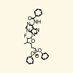 CC1C(CCP(=O)(Oc2ccccc2)Oc2ccccc2)OC(n2cnc3c(NC(=O)c4ccccc4)ncnc32)C1F